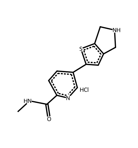 CNC(=O)c1ccc(-c2cc3c(s2)CNC3)cn1.Cl